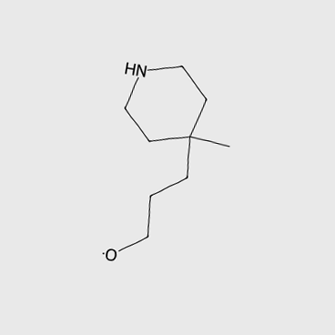 CC1(CCC[O])CCNCC1